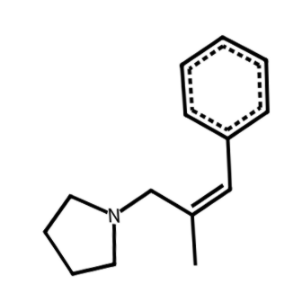 CC(=Cc1ccccc1)CN1CCCC1